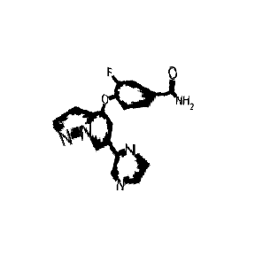 NC(=O)c1ccc(Oc2cc(-c3cnccn3)cn3nccc23)c(F)c1